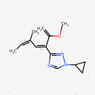 C=C(OC)/C(=C\C(C)=C/C)c1ncn(C2CC2)n1